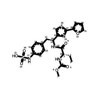 CC[C@H](NC(=O)OC)C(=O)N[C@@H](Cc1ccc(NS(=O)(=O)O)cc1)c1csc(-c2ccco2)n1